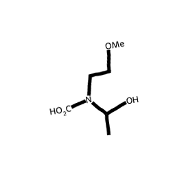 COCCN(C(=O)O)C(C)O